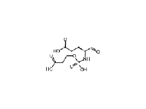 O=C[C@H](CCC(=O)O)NP(=O)(O)OCCC(=O)O